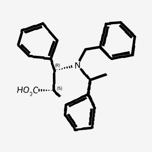 CC(c1ccccc1)N(Cc1ccccc1)[C@@H](c1ccccc1)[C@H](C)C(=O)O